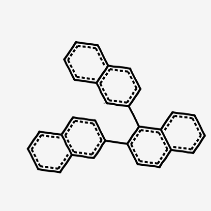 [c]1c(-c2c(-c3ccc4ccccc4c3)ccc3ccccc23)ccc2ccccc12